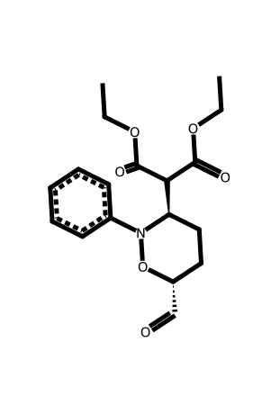 CCOC(=O)C(C(=O)OCC)[C@H]1CC[C@H](C=O)ON1c1ccccc1